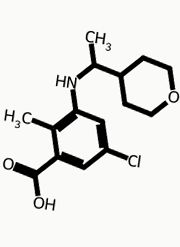 Cc1c(NC(C)C2CCOCC2)cc(Cl)cc1C(=O)O